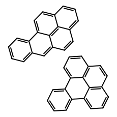 c1ccc2c(c1)c1cccc3ccc4cccc2c4c31.c1ccc2c(c1)cc1ccc3cccc4ccc2c1c34